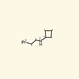 CC(C)CCNC1CCC1